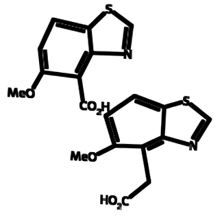 COc1ccc2scnc2c1C(=O)O.COc1ccc2scnc2c1CC(=O)O